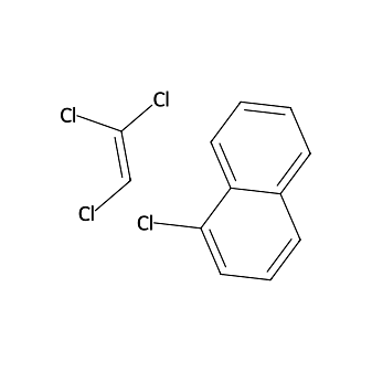 ClC=C(Cl)Cl.Clc1cccc2ccccc12